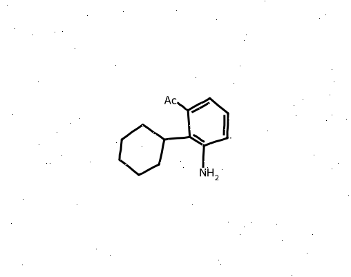 CC(=O)c1cc[c]c(N)c1C1CCCCC1